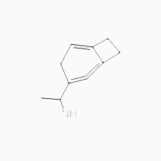 CC(N)C1=C=C2CCC2=CC1